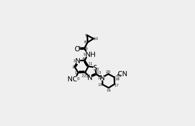 N#Cc1cnc(NC(=O)C2CC2)c2sc(N3CCC[C@@H](C#N)C3)nc12